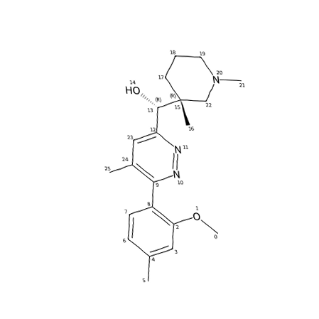 COc1cc(C)ccc1-c1nnc([C@H](O)[C@]2(C)CCCN(C)C2)cc1C